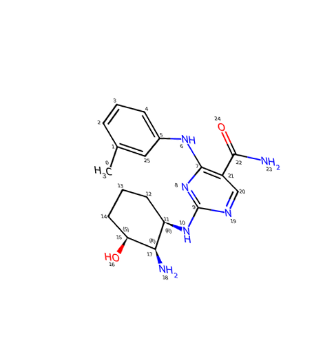 Cc1cccc(Nc2nc(N[C@@H]3CCC[C@H](O)[C@@H]3N)ncc2C(N)=O)c1